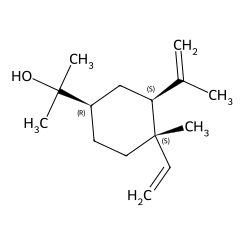 C=C[C@]1(C)CC[C@@H](C(C)(C)O)C[C@H]1C(=C)C